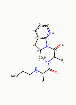 COCCNC(C)C(=O)NC(C(=O)N1c2ncccc2CC1C(=O)O)C(C)C